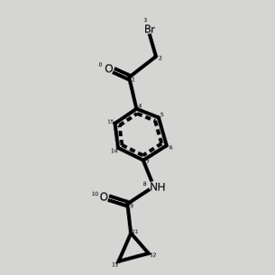 O=C(CBr)c1ccc(NC(=O)C2CC2)cc1